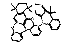 C/C=C1\C(=C/C)N(c2cccc3c2Oc2c4c(cc5c2C(C)(C)CCC5(C)C)Oc2ccccc2B34)c2ccccc2C1(C)C